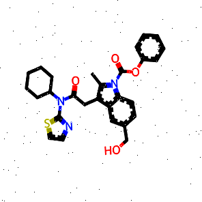 Cc1c(CC(=O)N(c2nccs2)C2CCCCC2)c2cc(CO)ccc2n1C(=O)Oc1ccccc1